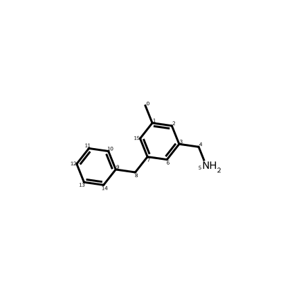 Cc1cc(CN)cc(Cc2ccccc2)c1